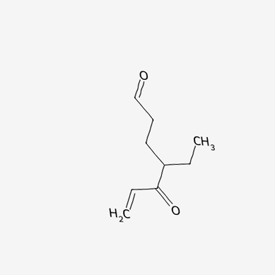 C=CC(=O)C(CC)CCC=O